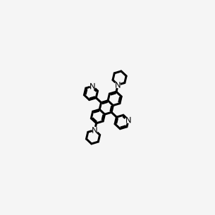 c1cncc(-c2c3ccc(N4CCCCC4)cc3c(-c3cccnc3)c3ccc(N4CCCCC4)cc23)c1